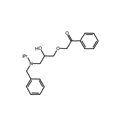 CC(C)N(Cc1ccccc1)CC(O)COCC(=O)c1ccccc1